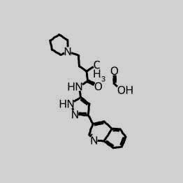 CC(CCN1CCCCC1)C(=O)Nc1cc(-c2cnc3ccccc3c2)n[nH]1.O=CO